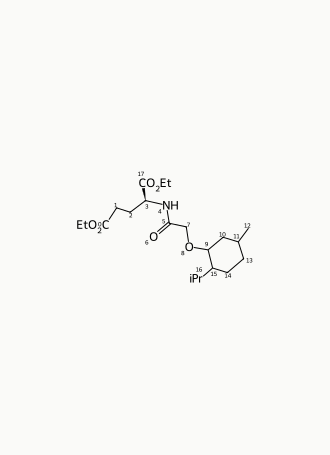 CCOC(=O)CC[C@H](NC(=O)COC1CC(C)CCC1C(C)C)C(=O)OCC